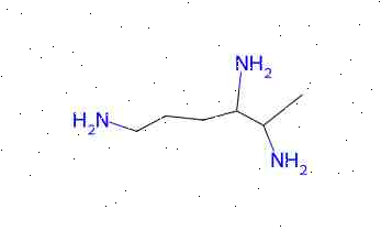 CC(N)C(N)CCCN